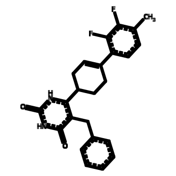 Cc1ccc(C2=CCC(c3[nH]c(=O)[nH]c(=O)c3Cc3ccccc3)CC2)c(F)c1F